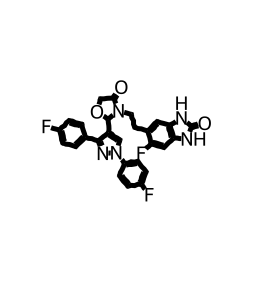 O=C1COC(c2cn(-c3ccc(F)cc3)nc2-c2ccc(F)cc2)N1CCc1cc2[nH]c(=O)[nH]c2cc1F